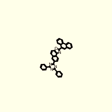 c1ccc(-c2nc(-c3ccccc3)nc(-c3ccc4c(ccc5oc(-c6cc7ccccc7c7ccccc67)nc54)c3)n2)cc1